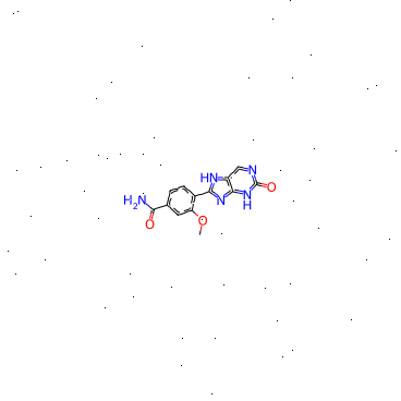 COc1cc(C(N)=O)ccc1-c1nc2[nH]c(=O)ncc2[nH]1